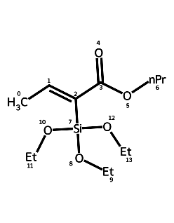 CC=C(C(=O)OCCC)[Si](OCC)(OCC)OCC